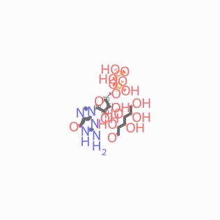 Nc1nc2c(ncn2[C@@H]2O[C@H](COP(=O)(O)OP(=O)(O)O)[C@@H](O)[C@H]2O)c(=O)[nH]1.O=CC(O)C(O)C(O)C(O)CO